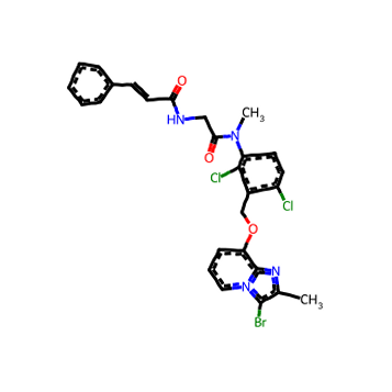 Cc1nc2c(OCc3c(Cl)ccc(N(C)C(=O)CNC(=O)C=Cc4ccccc4)c3Cl)cccn2c1Br